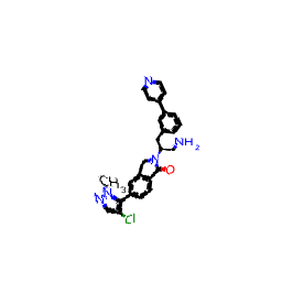 Cn1ncc(Cl)c1-c1ccc2c(c1)CN([C@H](CN)Cc1cccc(-c3ccncc3)c1)C2=O